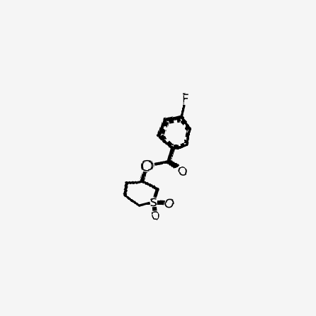 O=C(OC1CCCS(=O)(=O)C1)c1ccc(F)cc1